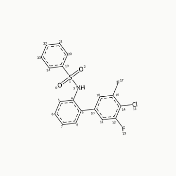 O=S(=O)(Nc1ccccc1-c1cc(F)c(Cl)c(F)c1)c1ccccc1